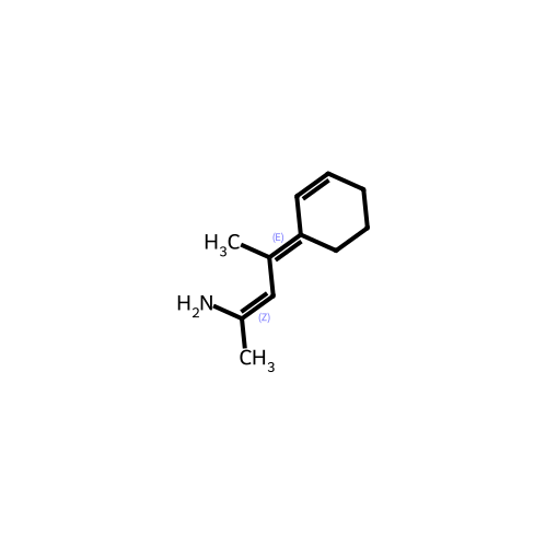 C/C(N)=C/C(C)=C1/C=CCCC1